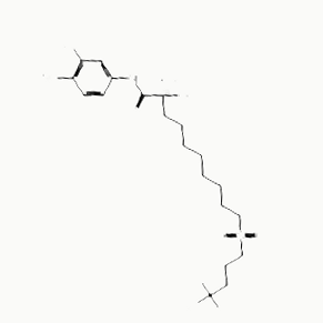 C[C@](O)(CCCCCCCCS(=O)(=O)CCCC(F)(F)C(F)(F)F)C(=O)Nc1ccc(C#N)c(C(F)(F)F)c1